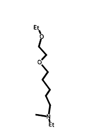 CCOCCOCCCCCN(C)CC